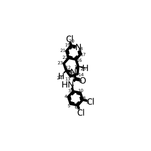 O=C(Nc1ccc(Cl)c(Cl)c1)N1[C@@H]2CC[C@H]1c1cnc(Cl)cc1C2